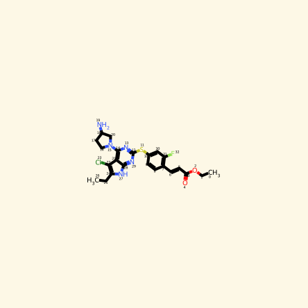 CCOC(=O)/C=C/c1ccc(Sc2nc(N3CCC(N)C3)c3c(Cl)c(CC)[nH]c3n2)cc1F